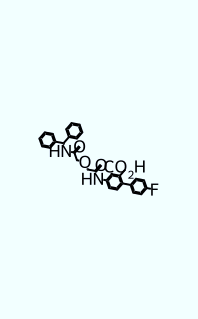 Cc1c(-c2ccc(F)cc2)ccc(NC(=O)COCC(=O)NC(c2ccccc2)c2ccccc2)c1C(=O)O